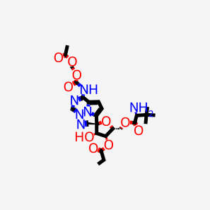 CCC(=O)O[C@H]1[C@@H](O)[C@](C#N)(c2ccc3c(NC(=O)OCOC(C)=O)ncnn23)O[C@@H]1COC(=O)[C@@H](N)C(C)(C)C